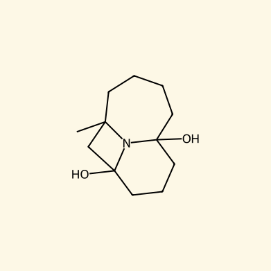 CC12CCCCC3(O)CCCC(O)(C1)N23